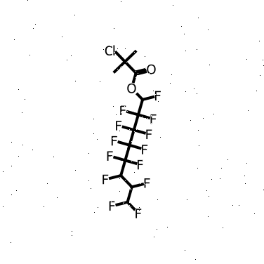 CC(C)(Cl)C(=O)OC(F)C(F)(F)C(F)(F)C(F)(F)C(F)(F)C(F)C(F)C(F)F